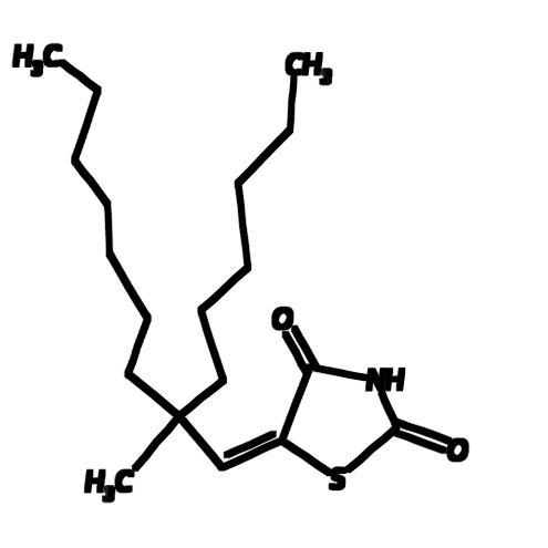 CCCCCCCC(C)(/C=C1/SC(=O)NC1=O)CCCCCC